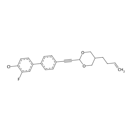 C=CCCC1COC(C#Cc2ccc(-c3ccc(Cl)c(F)c3)cc2)OC1